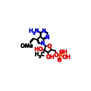 CO/C=C\c1cn(C2OC(COP(=O)(O)O)C(O)[C@@]2(C)O)c2ncnc(N)c12